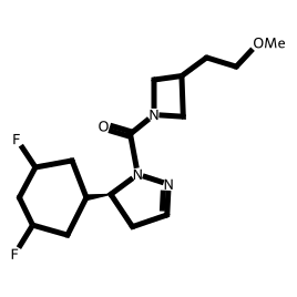 COCCC1CN(C(=O)N2N=CC[C@H]2C2CC(F)CC(F)C2)C1